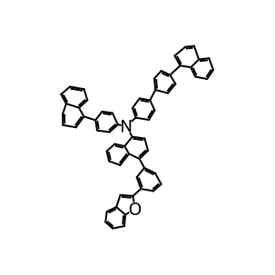 c1cc(-c2cc3ccccc3o2)cc(-c2ccc(N(c3ccc(-c4ccc(-c5cccc6ccccc56)cc4)cc3)c3ccc(-c4cccc5ccccc45)cc3)c3ccccc23)c1